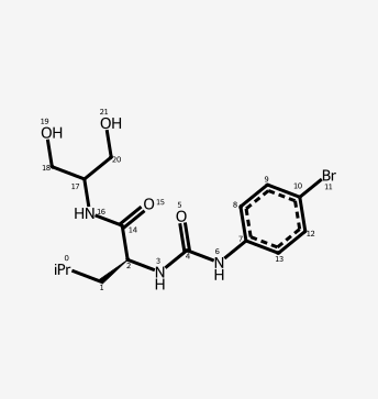 CC(C)C[C@H](NC(=O)Nc1ccc(Br)cc1)C(=O)NC(CO)CO